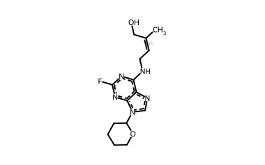 C/C(=C/CNc1nc(F)nc2c1ncn2C1CCCCO1)CO